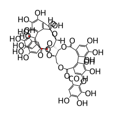 O=C(O[C@@H]1COC(=O)c2cc(Oc3c(C(=O)O)cc(O)c(O)c3O)c(O)c(O)c2-c2c(cc(O)c(O)c2O)C(=O)O[C@H]1C1OC(=O)c2cc(O)c(O)c(O)c2-c2c(O)c(O)c(O)c3c2C(=O)O[C@H]1[C@H]3O)c1cc(O)c(O)c(O)c1